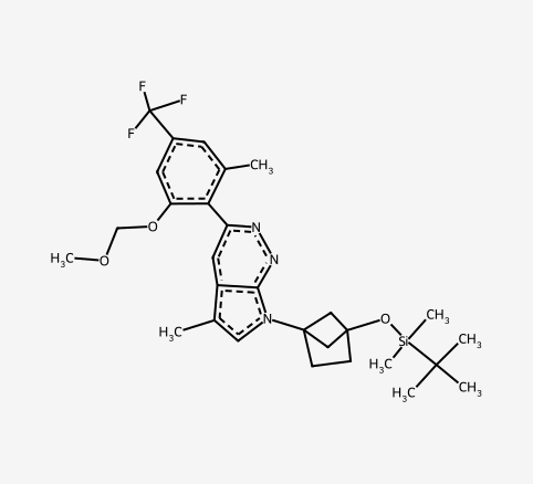 COCOc1cc(C(F)(F)F)cc(C)c1-c1cc2c(C)cn(C34CCC(O[Si](C)(C)C(C)(C)C)(C3)C4)c2nn1